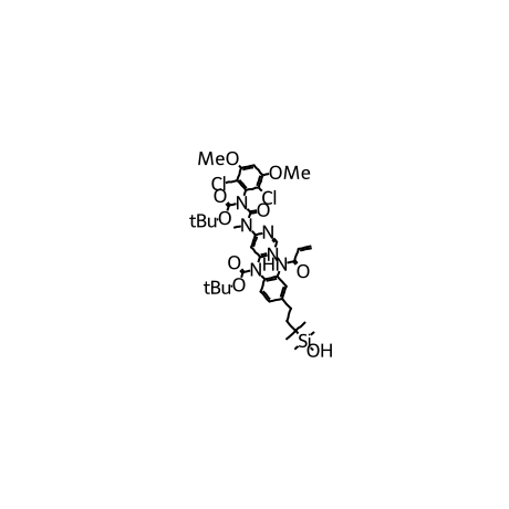 C=CC(=O)Nc1cc(CCC(C)(C)[Si](C)(C)O)ccc1N(C(=O)OC(C)(C)C)c1cc(N(C)C(=O)N(C(=O)OC(C)(C)C)c2c(Cl)c(OC)cc(OC)c2Cl)ncn1